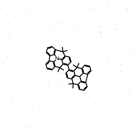 CC1(C)c2cccc3c2C2c4c-3cccc4C(C)(C)c3c(-c4ccc5c6c4C(C)(C)c4cccc7c8cccc(c8n-6c47)C5(C)C)ccc1c32